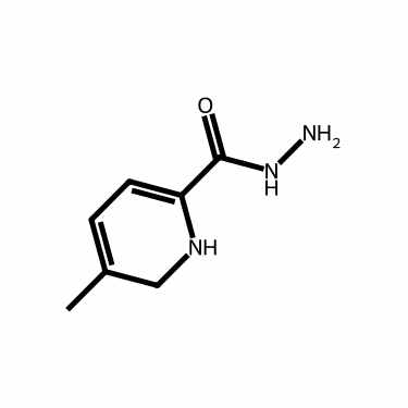 CC1=CC=C(C(=O)NN)NC1